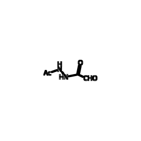 CC(=O)NNC(=O)C=O